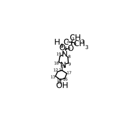 CC(C)(C)OC(=O)N1CCN([C@H]2CC[C@@H](O)CC2)CC1